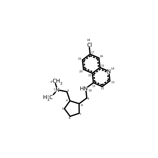 CN(C)CC1CCCC1CNc1ccnc2cc(Cl)ccc12